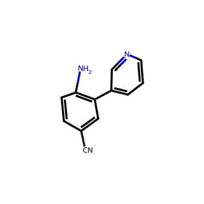 N#Cc1ccc(N)c(-c2cccnc2)c1